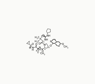 COc1ccc2c(O[C@@H]3C[C@@H](C(=O)N[C@]4(C(=O)NS(=O)(=O)C5CC5)C[C@H]4C)N(C(=O)[C@@H](NC(=O)NC4CCCC4)C(C)(C)C)C3)nccc2c1